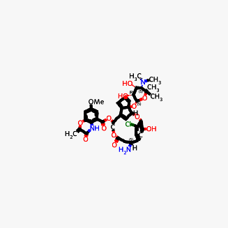 C=C1Oc2cc(OC)cc(C(=O)OC3COC(=O)C[C@H](N)c4cc(O)c(c(Cl)c4)O[C@@H]4C=C3C3=CC=CC34O[C@@H]3OC(C)(C)[C@@H](N(C)C)[C@@H](O)[C@H]3O)c2NC1=O